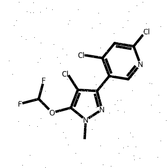 Cn1nc(-c2cnc(Cl)cc2Cl)c(Cl)c1OC(F)F